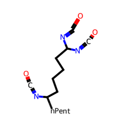 CCCCCC(CCCCC(N=C=O)N=C=O)N=C=O